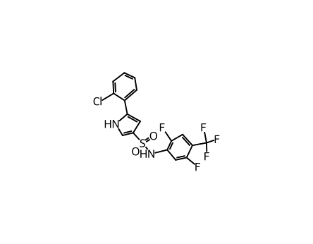 O=S(=O)(Nc1cc(F)c(C(F)(F)F)cc1F)c1c[nH]c(-c2ccccc2Cl)c1